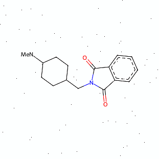 CNC1CCC(CN2C(=O)c3ccccc3C2=O)CC1